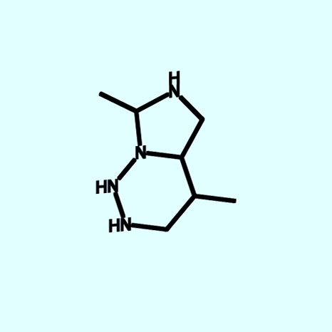 CC1CNNN2C(C)NCC12